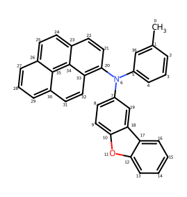 Cc1cccc(N(c2ccc3oc4ccccc4c3c2)c2ccc3ccc4cccc5ccc2c3c45)c1